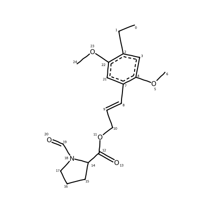 CCc1cc(OC)c(/C=C/COC(=O)C2CCCN2C=O)cc1OC